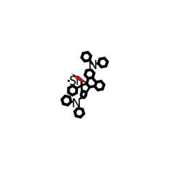 C[Si]1(C)c2ccccc2C2(c3cc(N(c4ccccc4)c4ccccc4)ccc3-c3c2c2ccc(N(c4ccccc4)c4ccccc4)cc2c2ccccc32)c2ccccc21